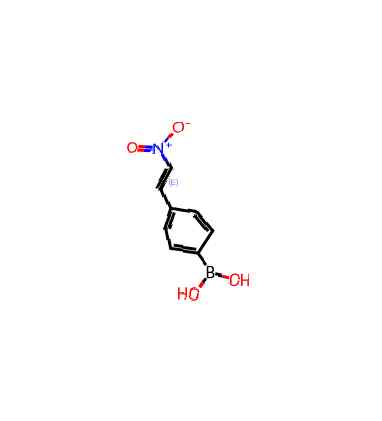 O=[N+]([O-])/C=C/c1ccc(B(O)O)cc1